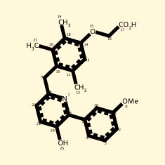 COc1cccc(-c2nc(Cc3c(C)cc(OCC(=O)O)c(C)c3C)ccc2O)c1